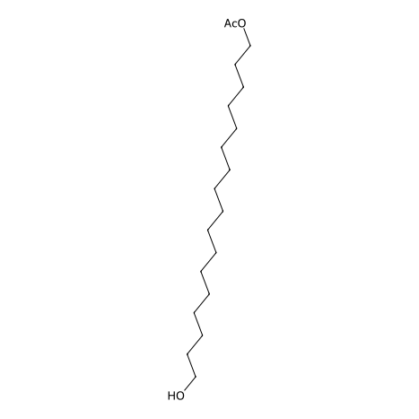 CC(=O)OCCCCCCCCCCCCCCCCCO